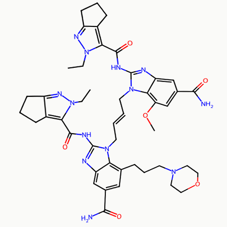 CCn1nc2c(c1C(=O)Nc1nc3cc(C(N)=O)cc(CCCN4CCOCC4)c3n1CC=CCn1c(NC(=O)c3c4c(nn3CC)CCC4)nc3cc(C(N)=O)cc(OC)c31)CCC2